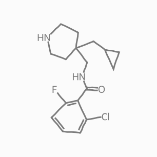 O=C(NCC1(CC2CC2)CCNCC1)c1c(F)cccc1Cl